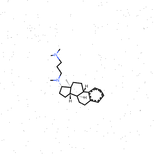 CN(C)CCCN(C)[C@H]1CC[C@H]2[C@@H]3CCc4ccccc4[C@H]3CC[C@]12C